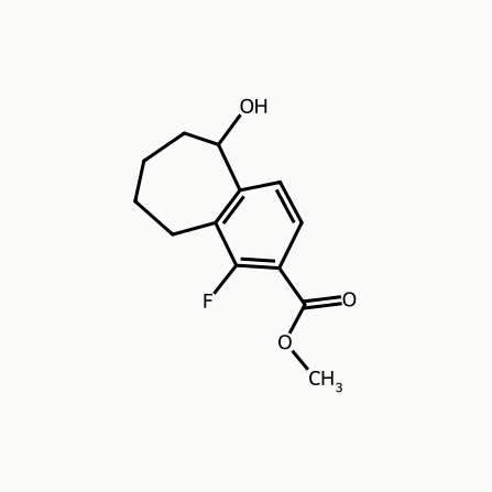 COC(=O)c1ccc2c(c1F)CCCCC2O